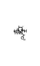 COCC1N[C@@H]2CC[C@H]1C2